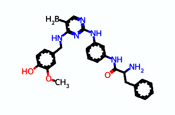 Bc1cnc(Nc2cccc(NC(=O)C(N)Cc3ccccc3)c2)nc1NCc1ccc(O)c(OC)c1